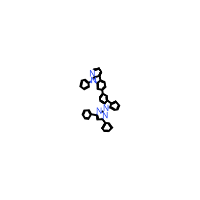 c1ccc(-c2cc(-c3ccccc3)nc(-n3c4ccccc4c4cc(-c5ccc6c7cccnc7n(-c7ccccc7)c6c5)ccc43)n2)cc1